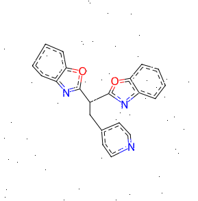 c1ccc2oc(C(Cc3ccncc3)c3nc4ccccc4o3)nc2c1